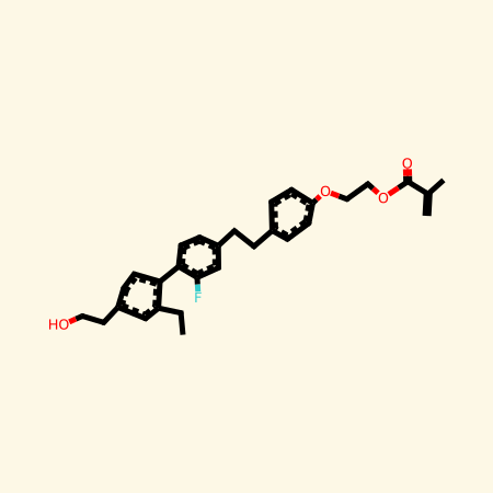 C=C(C)C(=O)OCCOc1ccc(CCc2ccc(-c3ccc(CCO)cc3CC)c(F)c2)cc1